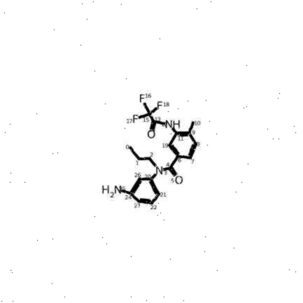 CCCN(C(=O)c1ccc(C)c(NC(=O)C(F)(F)F)c1)c1cccc(N)c1